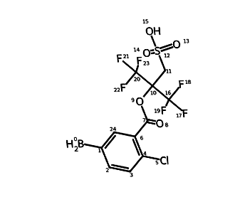 Bc1ccc(Cl)c(C(=O)OC(CS(=O)(=O)O)(C(F)(F)F)C(F)(F)F)c1